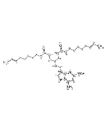 CC=CCCCCCOC(=O)OCC(COC(=O)OCCCCCC=CC)OCn1cnc2c(N)nc(NC)nc21